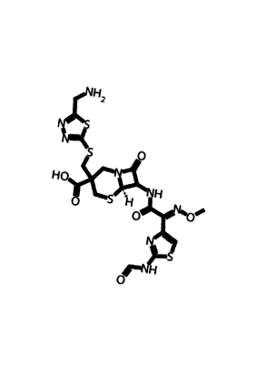 CON=C(C(=O)NC1C(=O)N2CC(CSc3nnc(CN)s3)(C(=O)O)CS[C@H]12)c1csc(NC=O)n1